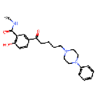 CCCNC(=O)c1cc(C(=O)CCCCN2CCN(c3ccccc3)CC2)ccc1O